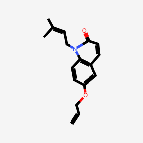 C=CCOc1ccc2c(ccc(=O)n2CC=C(C)C)c1